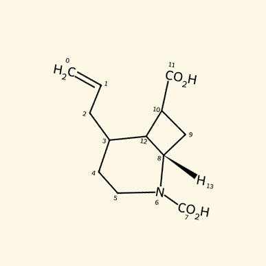 C=CCC1CCN(C(=O)O)[C@H]2CC(C(=O)O)C12